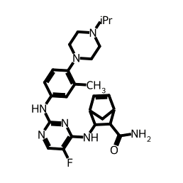 Cc1cc(Nc2ncc(F)c(NC3C4C=CC(C4)C3C(N)=O)n2)ccc1N1CCN(C(C)C)CC1